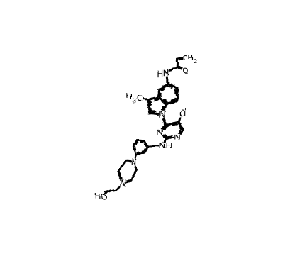 C=CC(=O)Nc1ccc2c(c1)c(C)cn2-c1nc(Nc2cccc(N3CCN(CCO)CC3)c2)ncc1Cl